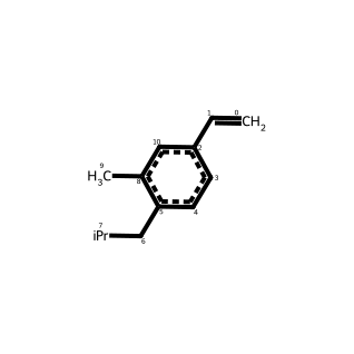 C=Cc1ccc(CC(C)C)c(C)c1